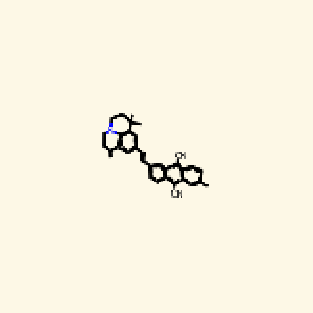 C=C1CCN2CCC(C)(C)c3cc(C=Cc4ccc5c(C#N)c6cc(C)ccc6c(C#N)c5c4)cc1c32